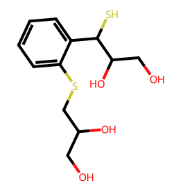 OCC(O)CSc1ccccc1C(S)C(O)CO